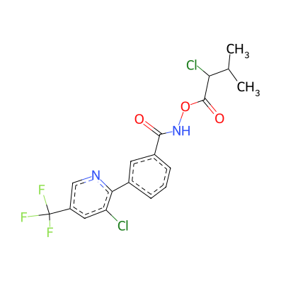 CC(C)C(Cl)C(=O)ONC(=O)c1cccc(-c2ncc(C(F)(F)F)cc2Cl)c1